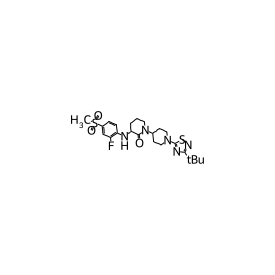 CC(C)(C)c1nsc(N2CCC(N3CCC[C@H](Nc4ccc(S(C)(=O)=O)cc4F)C3=O)CC2)n1